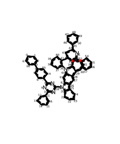 c1ccc(-c2ccc(-c3nc(-c4ccccc4)nc(-n4c5ccccc5c5cc6c7ccccc7n(-c7ccccc7-c7cc(-c8ccccc8)nc(-c8ccccc8)c7)c6cc54)n3)cc2)cc1